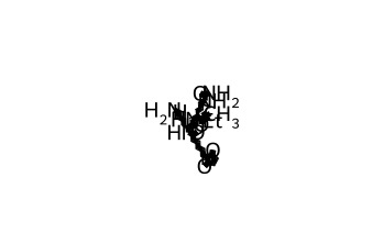 CCC(C)(C)C(=O)[C@H](CCCNC(N)=O)NC(=O)[C@H](CCCCN)NC(=O)CCCCCN1C(=O)C=CC1=O